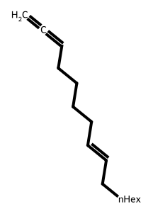 C=C=CCCCCC=CCCCCCCC